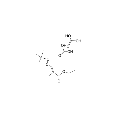 CCOC(=O)C(C)=COOC(C)(C)C.O=C(O)O.O=C(O)O